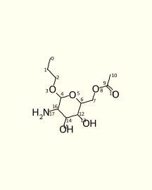 CCCOC1OC(COC(C)=O)C(O)C(O)C1N